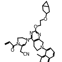 C=CC(=O)N1CCN(c2nc(OCCOC3CC4CC4C3)nc3c2CCN(c2cccc4cccc(C)c24)C3)C=C1CC#N